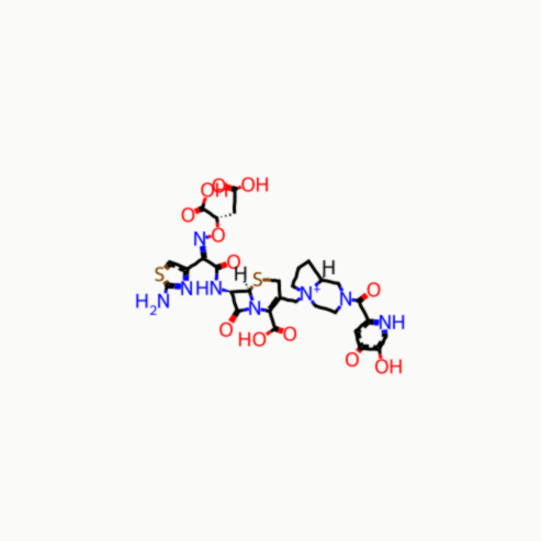 Nc1nc(/C(=N/O[C@@H](CC(=O)O)C(=O)O)C(=O)N[C@@H]2C(=O)N3C(C(=O)O)=C(C[N+]45CCC[C@H]4CN(C(=O)c4cc(=O)c(O)c[nH]4)CC5)CS[C@H]23)cs1